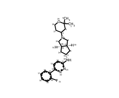 CC1(C)CC(N2C[C@H]3C[C@H](Nc4ccc(-c5ccccc5F)nn4)C[C@H]3C2)CCO1